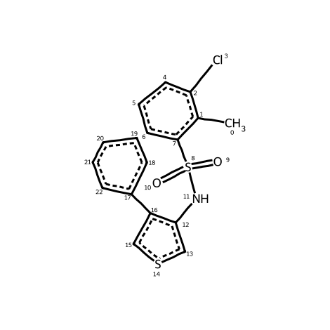 Cc1c(Cl)cccc1S(=O)(=O)Nc1cscc1-c1ccccc1